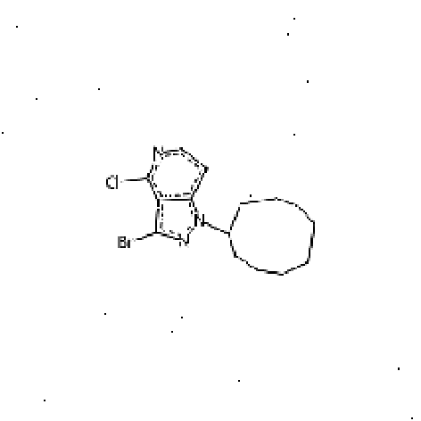 Clc1nccc2c1c(Br)nn2C1CCCCCCCC1